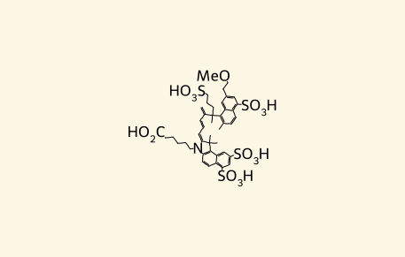 C=C(/C=C/C=C1/N(CCCCCC(=O)O)c2ccc3c(S(=O)(=O)O)cc(S(=O)(=O)O)cc3c2C1(C)C)C(C)(CCCS(=O)(=O)O)c1c(C)ccc2c(S(=O)(=O)O)cc(CCOC)cc12